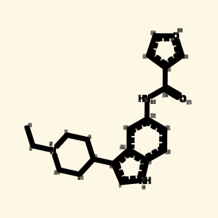 CCN1CCC(c2c[nH]c3ccc(NC(=O)c4ccoc4)cc23)CC1